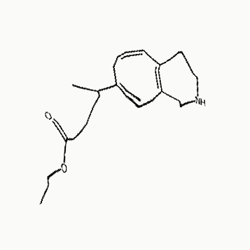 CCOC(=O)CC(C)c1ccc2c(c1)CNCC2